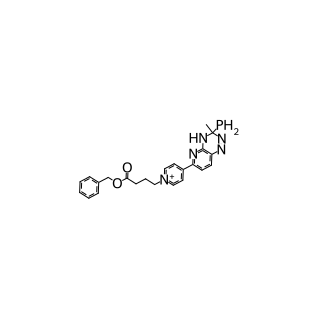 CC1(P)N=Nc2ccc(-c3cc[n+](CCCC(=O)OCc4ccccc4)cc3)nc2N1